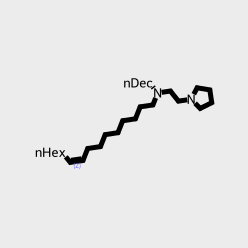 CCCCCC/C=C\CCCCCCCCN(CCCCCCCCCC)CCN1CCCC1